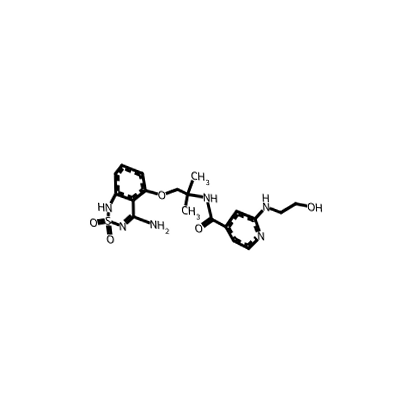 CC(C)(COc1cccc2c1C(N)=NS(=O)(=O)N2)NC(=O)c1ccnc(NCCO)c1